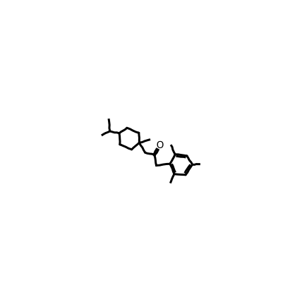 Cc1cc(C)c(CC(=O)CC2(C)CCC(C(C)C)CC2)c(C)c1